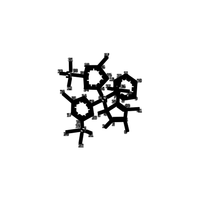 CC1=C(C)C(C)([Si](c2ccccc2)(c2cc(C)cc([Si](C)(C)C)c2)c2cc(C)cc([Si](C)(C)C)c2)[C]([Ti]([CH3])([CH3])[CH3])=C1C